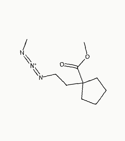 CN=[N+]=NCCC1(C(=O)OC)CCCC1